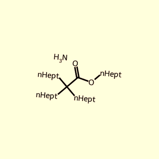 CCCCCCCOC(=O)C(CCCCCCC)(CCCCCCC)CCCCCCC.N